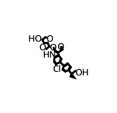 O=Cc1c(OC2COC3C(O)COC23)[nH]c2cc(Cl)c(-c3ccc(C4(CO)CC4)cc3)cc12